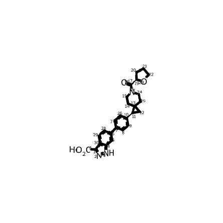 O=C(O)c1n[nH]c2cc(-c3ccc([C@@H]4CC45CCN(C(=O)[C@H]4CCCO4)CC5)cc3)ccc12